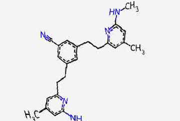 CNc1cc(C)cc(CCc2cc(C#N)cc(CCc3cc(C)cc(N)n3)c2)n1